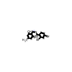 Cc1cc(C)c(/C=N\C(C)c2ccc(Br)cc2Br)c(C)c1